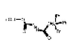 CCCCCCCCOC(=O)/N=N/C(=O)O[Si](C(C)C)(C(C)C)C(C)C